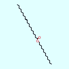 CCCCCCCCC=CCCCCCCCCCC(=O)OCCCCCCCCCCCCC